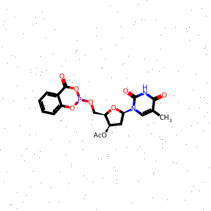 CC(=O)O[C@@H]1C[C@H](n2cc(C)c(=O)[nH]c2=O)O[C@@H]1COP1OC(=O)c2ccccc2O1